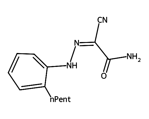 CCCCCc1ccccc1NN=C(C#N)C(N)=O